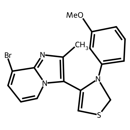 COc1cccc(N2CSC=C2c2c(C)nc3c(Br)cccn23)c1